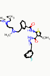 CCN(CC)CCN(C)Cc1cccc(C(=O)Nc2scc(C)c2C(=O)N/N=C/c2cccc(F)c2)c1